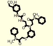 CN(C(=O)CSc1cccc(N(CC(=O)N(C)c2ccccc2)C(=O)CNC(=O)Nc2cccc(CC(=O)O)c2)c1)c1ccccc1